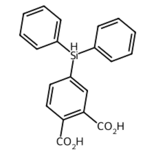 O=C(O)c1ccc([SiH](c2ccccc2)c2ccccc2)cc1C(=O)O